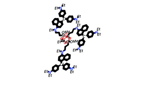 CCN(CC)c1ccc([C+](c2ccc(N(CC)CC)cc2)c2ccc(N(CC)CCC[Si]3(OC)O[Si]4(CC)O[Si](CCCN(CC)c5ccc([C+](c6ccc(N(CC)CC)cc6)c6ccc(N(CC)CC)cc6)c6ccccc56)(OC)O[Si](CCCN(CC)c5ccc([C+](c6ccc(N(CC)CC)cc6)c6ccc(N(CC)CC)cc6)c6ccccc56)(O3)O4)c3ccccc23)cc1